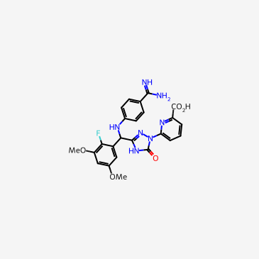 COc1cc(OC)c(F)c(C(Nc2ccc(C(=N)N)cc2)c2nn(-c3cccc(C(=O)O)n3)c(=O)[nH]2)c1